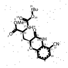 COC(=O)[C@H](C[C@@H]1Oc2cccc(C#N)c2NC1=O)NC(=O)OC(C)(C)C